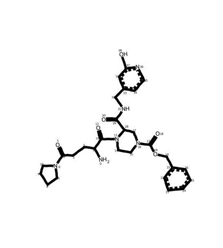 NC(CCC(=O)N1CCCC1)C(=O)N1CCN(C(=O)OCc2ccccc2)CC1C(=O)NCc1ccnc(O)c1